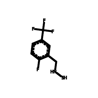 Fc1ccc(C(F)(F)F)cc1CNS